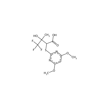 COc1cc(OC)nc(SC(C(=O)O)C(C)(O)C(F)(F)F)n1